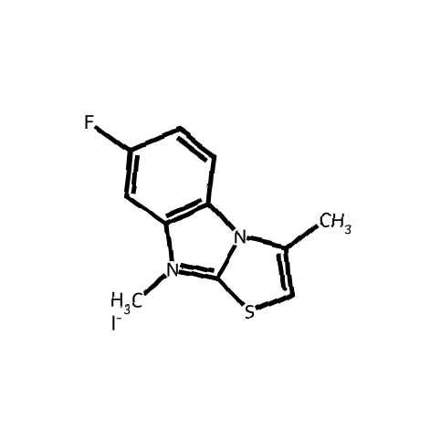 Cc1csc2n1c1ccc(F)cc1[n+]2C.[I-]